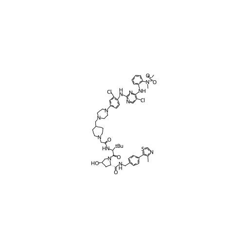 Cc1ncsc1-c1ccc(CNC(=O)[C@@H]2C[C@@H](O)CN2C(=O)C(NC(=O)CN2CCC(CN3CCN(c4ccc(Nc5ncc(Cl)c(Nc6ccccc6N(C)S(C)(=O)=O)n5)c(Cl)c4)CC3)CC2)C(C)(C)C)cc1